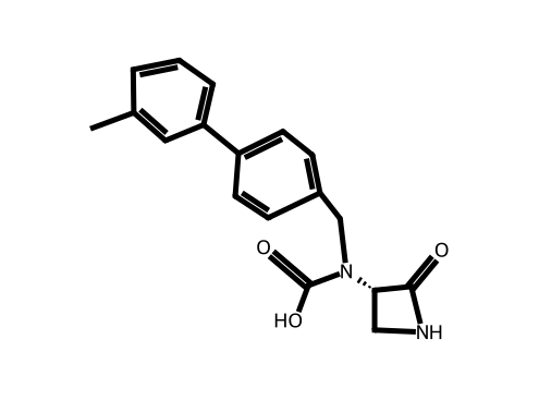 Cc1cccc(-c2ccc(CN(C(=O)O)[C@H]3CNC3=O)cc2)c1